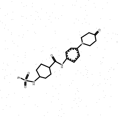 CC(C)S(=O)(=O)NC1CCC(C(=O)Nc2ccc(N3CCC(=O)CC3)cc2)CC1